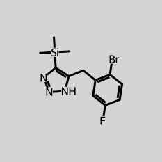 C[Si](C)(C)c1nn[nH]c1Cc1cc(F)ccc1Br